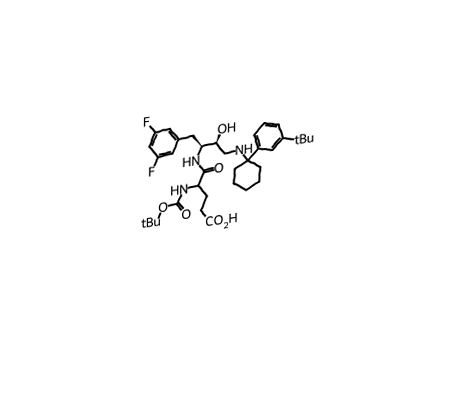 CC(C)(C)OC(=O)NC(CCC(=O)O)C(=O)N[C@@H](Cc1cc(F)cc(F)c1)[C@@H](O)CNC1(c2cccc(C(C)(C)C)c2)CCCCC1